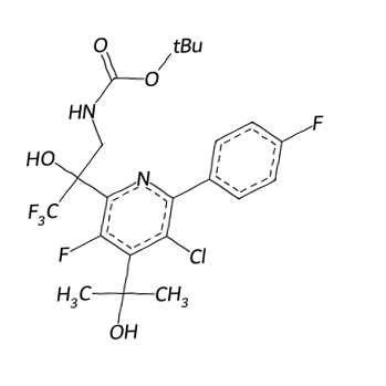 CC(C)(C)OC(=O)NCC(O)(c1nc(-c2ccc(F)cc2)c(Cl)c(C(C)(C)O)c1F)C(F)(F)F